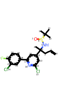 C=CCC(C)(N[S+]([O-])C(C)(C)C)c1cc(Cl)nc(-c2ccc(F)c(Cl)c2)c1